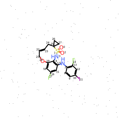 O=S1(=O)Nc2c(Nc3ccc(I)cc3F)cc(F)cc2OC/C=C/CC12CC2